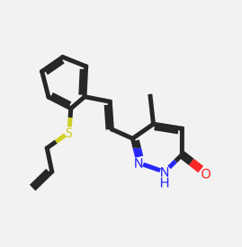 C=CCSc1ccccc1C=Cc1n[nH]c(=O)cc1C